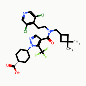 CC1(C)CC(CN(CCc2c(Cl)cncc2Cl)C(=O)c2cnn([C@H]3CC[C@H](C(=O)O)CC3)c2C(F)(F)F)C1